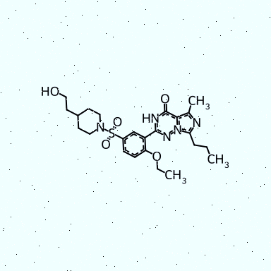 CCCc1nc(C)c2c(=O)[nH]c(-c3cc(S(=O)(=O)N4CCC(CCO)CC4)ccc3OCC)nn12